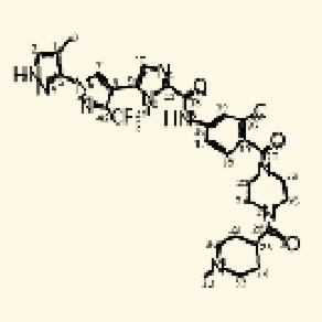 Cc1c[nH]nc1-n1cc(-c2cnc(C(=O)Nc3ccc(C(=O)N4CCN(C(=O)C5CCN(C)CC5)CC4)c(Cl)c3)n2C)c(C(F)(F)F)n1